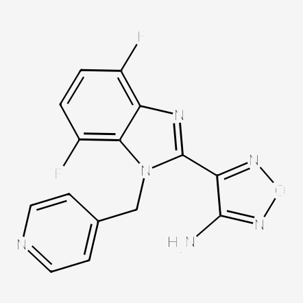 Nc1nonc1-c1nc2c(F)ccc(F)c2n1Cc1ccncc1